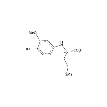 COc1cc(N[C@@H](CCSC)C(=O)O)ccc1O